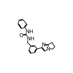 O=C(NCc1cccc(-c2cn3c(n2)CCC3)c1)Nc1ccccc1